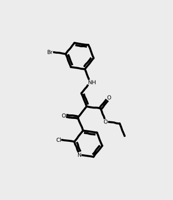 CCOC(=O)/C(=C\Nc1cccc(Br)c1)C(=O)c1cccnc1Cl